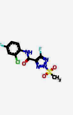 CS(=O)(=O)n1nc(F)c(C(=O)Nc2ccc(F)cc2Cl)n1